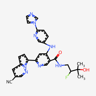 CC(C)(O)C(F)CNC(=O)c1cnc(-c2ccc3cc(C#N)cnn23)cc1Nc1ccc(-n2ccnc2)nc1